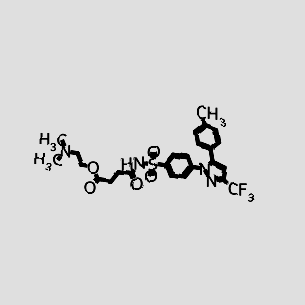 Cc1ccc(-c2cc(C(F)(F)F)nn2-c2ccc(S(=O)(=O)NC(=O)CCC(=O)OCCN(C)C)cc2)cc1